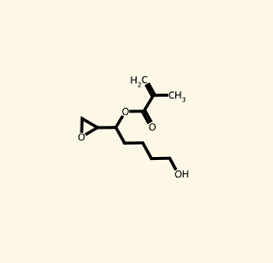 C=C(C)C(=O)OC(CCCCO)C1CO1